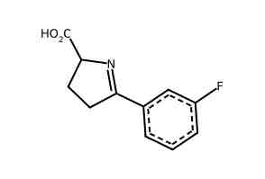 O=C(O)C1CCC(c2cccc(F)c2)=N1